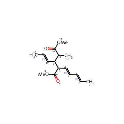 C/C=C/C=C/C(C(=O)OC)C(/C=C/C)C(C)C(=O)OC